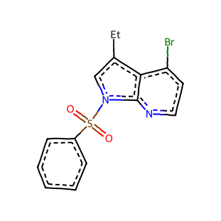 CCc1cn(S(=O)(=O)c2ccccc2)c2nccc(Br)c12